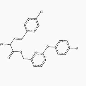 CC(C)C(C=Cc1ccc(Cl)cc1)C(=O)OCc1cccc(Oc2ccc(F)cc2)n1